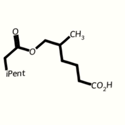 CCCC(C)CC(=O)OCC(C)CCCC(=O)O